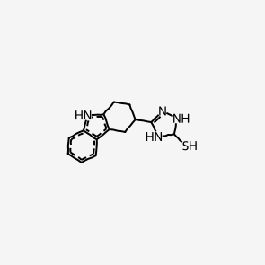 SC1NN=C(C2CCc3[nH]c4ccccc4c3C2)N1